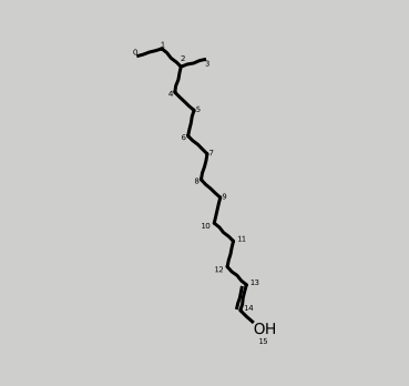 CCC(C)CCCCCCCCCC=CO